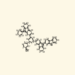 Brc1cccc(-c2cc(-c3ccc4c(c3)c3ccccc3n4-c3ccc4c(c3)sc3ccccc34)cc(-c3ccc4c5ccccc5n(-c5ccccc5)c4c3)c2)c1